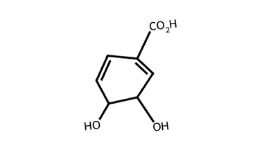 O=C(O)C1=CC(O)C(O)C=C1